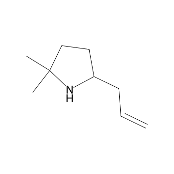 C=CCC1CCC(C)(C)N1